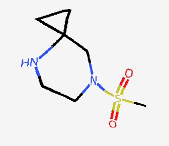 CS(=O)(=O)N1CCNC2(CC2)C1